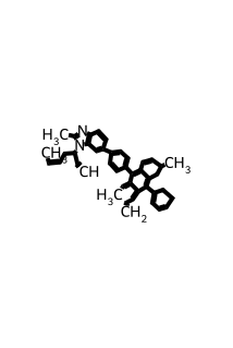 C#CC(C/C=C\C)n1c(C)nc2ccc(-c3ccc(-c4c5c(c(C6=CC=CCC6)c(=C/C=C)/c4=C\C)CC(C)C=C5)cc3)cc21